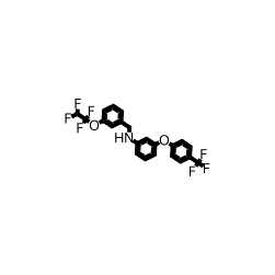 FC(F)C(F)(F)Oc1cccc(CNc2cccc(Oc3ccc(C(F)(F)F)cc3)c2)c1